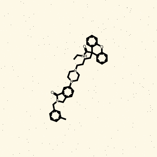 CCNC(=O)C1(CCCCN2CCN(c3ccc4c(c3)C(=O)N(Cc3cccc(C)c3)C4)CC2)c2ccccc2Oc2ccccc21